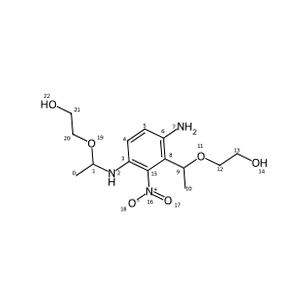 CC(Nc1ccc(N)c(C(C)OCCO)c1[N+](=O)[O-])OCCO